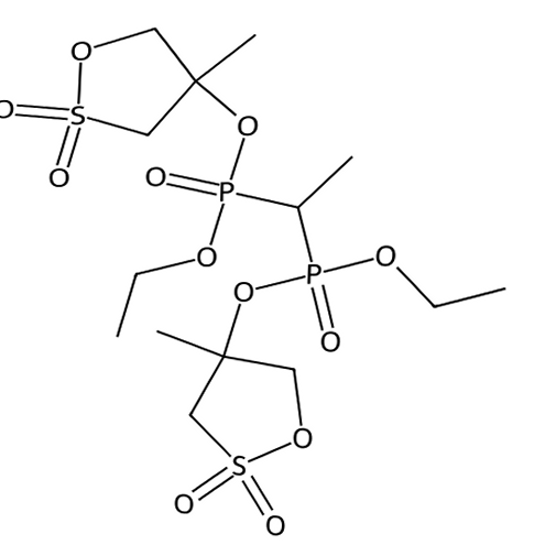 CCOP(=O)(OC1(C)COS(=O)(=O)C1)C(C)P(=O)(OCC)OC1(C)COS(=O)(=O)C1